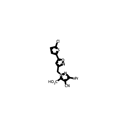 CCCc1nn(Cc2cc(-c3ccc(Cl)s3)on2)c(C(=O)O)c1C#N